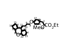 CCOC(=O)C(Cc1ccc(OCCCC=C2c3ccccc3COc3ccccc32)cc1)OC